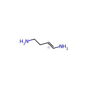 N/C=C/CCN